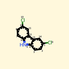 Clc1ccc2[nH]c3ccc(Cl)cc3c2c1